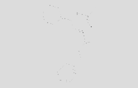 Clc1nc(NCCc2ccncc2)cc(N2CCOCC2)n1